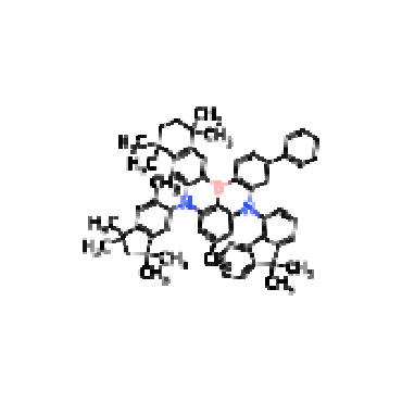 Cc1cc2c3c(c1)N(c1cccc4c1-c1ccccc1C4(C)C)c1cc(-c4ccccc4)ccc1B3c1cc3c(cc1N2c1cc2c(cc1C)C(C)(C)CC2(C)C)C(C)(C)CCC3(C)C